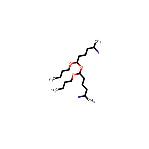 CCCCOC(CCCC(C)I)OC(CCCC(C)I)OCCCC